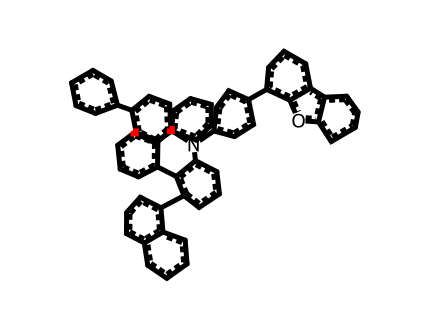 c1ccc(-c2ccc(N(c3ccc(-c4cccc5c4oc4ccccc45)cc3)c3cccc(-c4cccc5ccccc45)c3-c3ccccc3-c3ccccc3)cc2)cc1